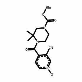 CC(C)(C)OC(=O)N1CCN(C(=O)c2cc[n+]([O-])cc2C#N)C(C)(C)C1